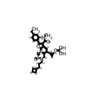 CCc1ccc(-c2oc3nc(CN(CCCC4CCC4)[SH](=O)=O)c(C4CC4)cc3c2C(=O)NC)cc1.O=C(O)O